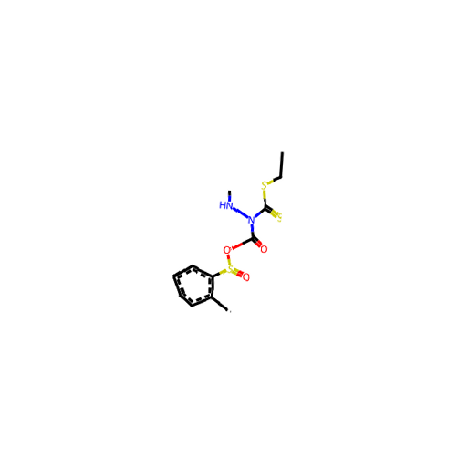 [CH2]c1ccccc1S(=O)OC(=O)N(NC)C(=S)SCC